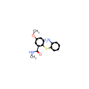 CNC(=O)c1cc(OC)ccc1Sc1ccccc1N